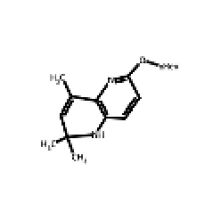 CCCCCCOc1ccc2c(n1)C(C)=CC(C)(C)N2